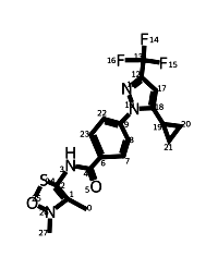 CC1=C(NC(=O)c2ccc(-n3nc(C(F)(F)F)cc3C3CC3)cc2)SON1C